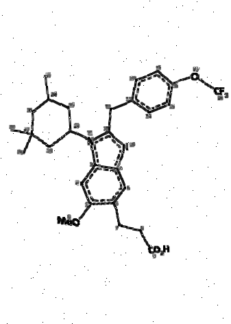 COc1cc2c(cc1CCC(=O)O)nc(Cc1ccc(OC(F)(F)F)cc1)n2C1CC(C)CC(C)(C)C1